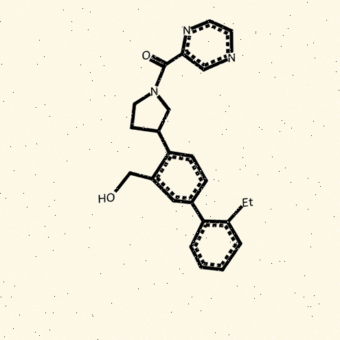 CCc1ccccc1-c1ccc(C2CCN(C(=O)c3cnccn3)C2)c(CO)c1